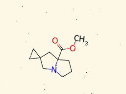 COC(=O)C12CCCN1CC1(CC1)C2